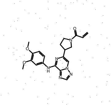 C=CC(=O)N1CCC(c2cn3ncnc3c(Nc3ccc(OC)c(OC)c3)n2)C1